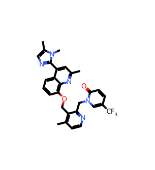 Cc1cc(-c2ncc(C)n2C)c2cccc(OCc3c(C)ccnc3Cn3cc(C(F)(F)F)ccc3=O)c2n1